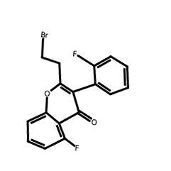 O=c1c(-c2ccccc2F)c(CCBr)oc2cccc(F)c12